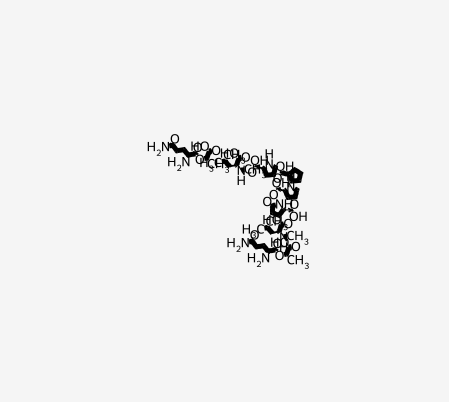 CN[C@@H](CC(C)C)C(=O)O.CN[C@@H](CC(C)C)C(=O)O.C[C@H](OC(=O)C(N)CCC(N)=O)C(=O)O.C[C@H](OC(=O)[C@@H](N)CCC(N)=O)C(=O)O.O=C(O)C1CCCC1.O=C(O)[C@@H]1CCCN1.O=C(O)[C@@H]1CCCN1.O=C1CC[C@@H](C(=O)O)N1